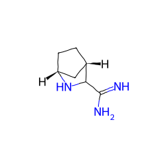 N=C(N)C1N[C@@H]2CC[C@H]1C2